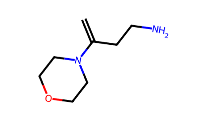 C=C(CCN)N1CCOCC1